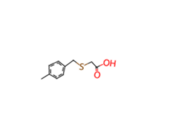 Cc1ccc(CSCC(=O)O)cc1